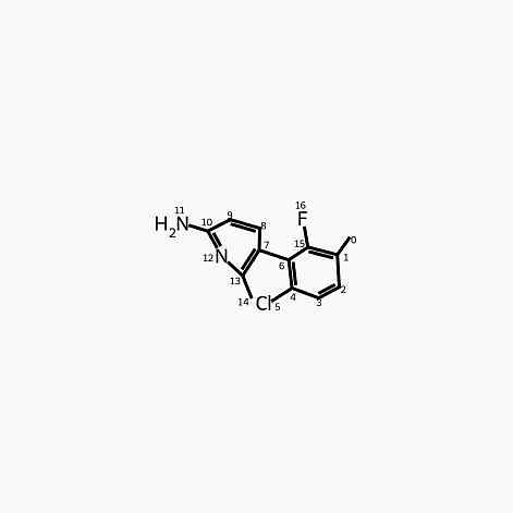 Cc1ccc(Cl)c(-c2ccc(N)nc2C)c1F